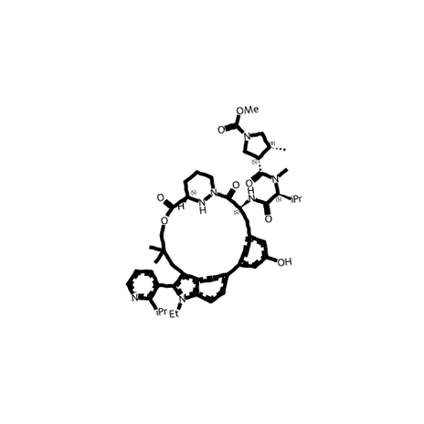 CCn1c(-c2cccnc2C(C)C)c2c3cc(ccc31)-c1cc(O)cc(c1)C[C@H](NC(=O)[C@H](C(C)C)N(C)C(=O)[C@@H]1CN(C(=O)OC)C[C@@H]1C)C(=O)N1CCC[C@H](N1)C(=O)OCC(C)(C)C2